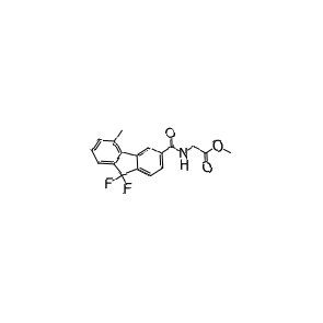 COC(=O)CNC(=O)c1ccc2c(c1)-c1c(C)cccc1C2(F)F